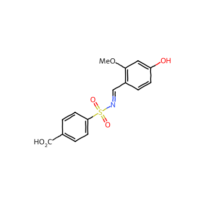 COc1cc(O)ccc1/C=N/S(=O)(=O)c1ccc(C(=O)O)cc1